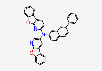 c1ccc(-c2ccc3ccc(N(c4cnc5oc6ccccc6c5c4)c4ccc5c(n4)oc4ccccc45)cc3c2)cc1